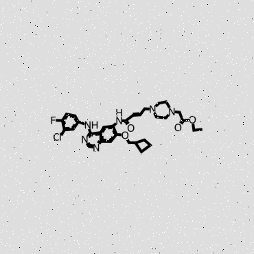 CCOC(=O)CN1CCN(C/C=C/C(=O)Nc2cc3c(Nc4ccc(F)c(Cl)c4)ncnc3cc2OCC2CCC2)CC1